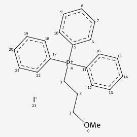 COCCC[P+](c1ccccc1)(c1ccccc1)c1ccccc1.[I-]